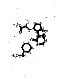 CN[C@H]1CC[C@H](Oc2ncnc3sc4c(c23)[C@@H](C[C@H](O)C(N)=O)CC4)CC1